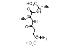 CCCC[C@H](NC(=O)[C@H](CCCC)NC(=O)CC[C@H](N)C(=O)O)C(=O)O